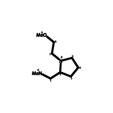 CNCC1CCCN1CCOC